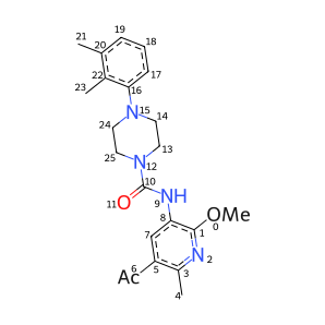 COc1nc(C)c(C(C)=O)cc1NC(=O)N1CCN(c2cccc(C)c2C)CC1